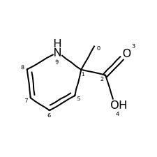 CC1(C(=O)O)C=CC=CN1